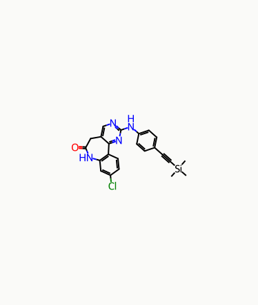 C[Si](C)(C)C#Cc1ccc(Nc2ncc3c(n2)-c2ccc(Cl)cc2NC(=O)C3)cc1